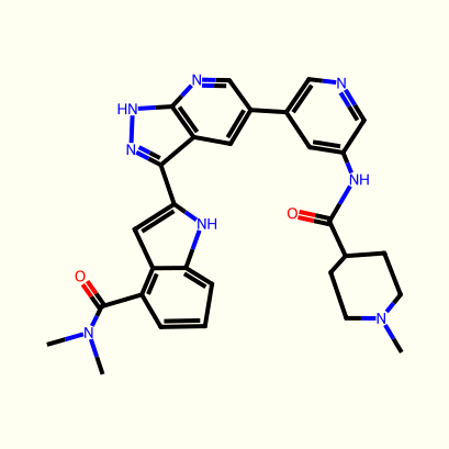 CN1CCC(C(=O)Nc2cncc(-c3cnc4[nH]nc(-c5cc6c(C(=O)N(C)C)cccc6[nH]5)c4c3)c2)CC1